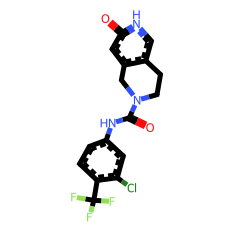 O=C(Nc1ccc(C(F)(F)F)c(Cl)c1)N1CCc2c[nH]c(=O)cc2C1